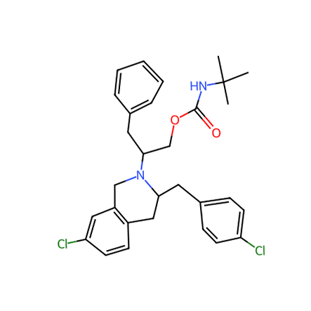 CC(C)(C)NC(=O)OCC(Cc1ccccc1)N1Cc2cc(Cl)ccc2CC1Cc1ccc(Cl)cc1